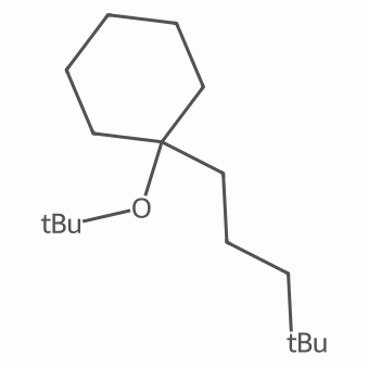 CC(C)(C)CCCC1(OC(C)(C)C)CCCCC1